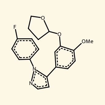 COc1ccc(-c2ccnn2-c2ccc(F)cc2)cc1OC1CCCO1